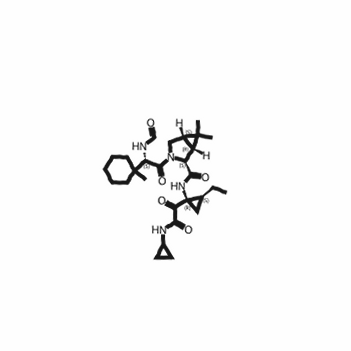 CC[C@H]1C[C@]1(NC(=O)[C@@H]1[C@@H]2[C@H](CN1C(=O)[C@@H](NC=O)C1(C)CCCCC1)C2(C)C)C(=O)C(=O)NC1CC1